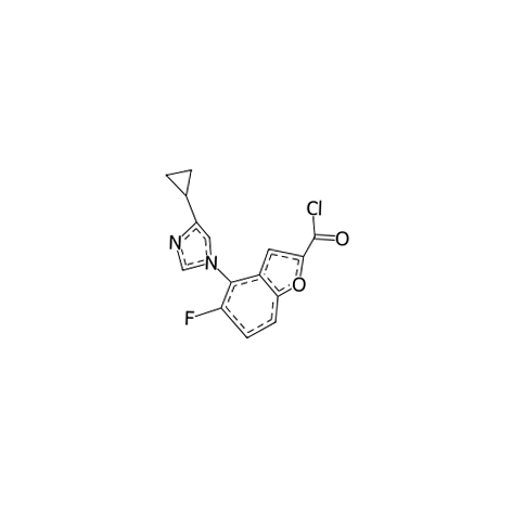 O=C(Cl)c1cc2c(-n3cnc(C4CC4)c3)c(F)ccc2o1